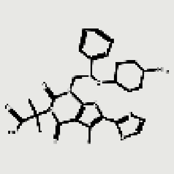 Cc1c(-c2ncco2)sc2c1c(=O)n(C(C)(C)C(=O)O)c(=O)n2C[C@H](OC1CCC(N)CC1)c1ccccc1